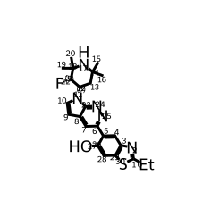 CCc1nc2cc(-c3cc4ccn([C@H]5CC(C)(C)NC(C)(C)[C@H]5F)c4nn3)c(O)cc2s1